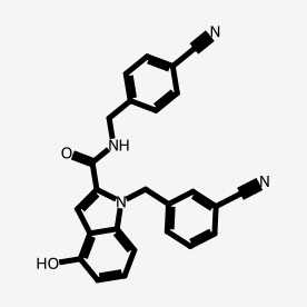 N#Cc1ccc(CNC(=O)c2cc3c(O)cccc3n2Cc2cccc(C#N)c2)cc1